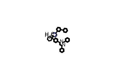 C=C(/C=C\C(=C/C)c1cccc(-c2ccccc2)c1)C1(c2ccc(-c3cc(-c4ccccc4)nc(-c4ccccc4)n3)cc2)CCCCC1